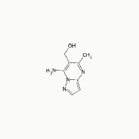 Cc1nc2ccnn2c(N)c1CO